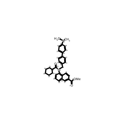 COC(=O)c1ccc2c(N(Cc3ccc(-c4ccc(N(C)C)cc4)cc3)C(=O)C3CCCCC3)cccc2c1